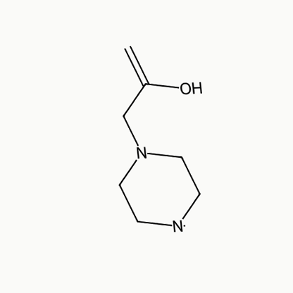 C=C(O)CN1CC[N]CC1